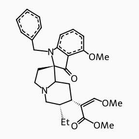 CC[C@@H]1CN2CC[C@@]3(C(=O)c4c(OC)cccc4N3Cc3ccccc3)C2C[C@@H]1C(=COC)C(=O)OC